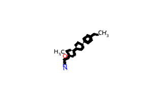 CCCc1ccc([C@H]2CC[C@H]([C@H]3CC[C@@](C=CC#N)(OC)CC3)CC2)cc1